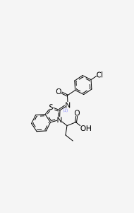 CCC(C(=O)O)n1/c(=N/C(=O)c2ccc(Cl)cc2)sc2ccccc21